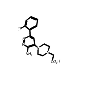 Nc1nnc(-c2ccccc2Cl)cc1N1CCN(CC(=O)O)CC1